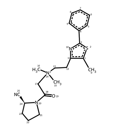 Cc1sc(-c2ccccc2)nc1CC[N+](C)(C)CC(=O)N1CCC[C@H]1C#N